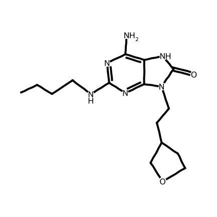 CCCCNc1nc(N)c2[nH]c(=O)n(CCC3CCOC3)c2n1